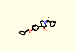 C[C@H](c1ccccc1)N1CCC(c2ccc(OCc3ccccc3)cc2)C(O)C1